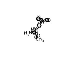 COC(=O)c1cc(N)nc(NCC2CCN(c3nc(N4CCOCC4)cc4ncccc34)CC2)n1